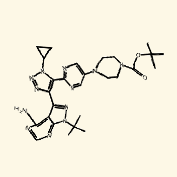 CC(C)(C)OC(=O)N1CCN(c2cnc(-c3c(-c4nn(C(C)(C)C)c5ncnc(N)c45)nnn3C3CC3)nc2)CC1